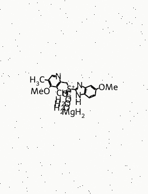 COc1ccc2[nH]c([S@@+]([O-])Cc3ncc(C)c(OC)c3C)nc2c1.O.O.O.[MgH2]